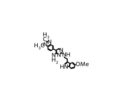 COc1ccc2[nH]cc(CCNc3ncc(-c4ccc5c(c4)nc(C)n5C)c(N)n3)c2c1